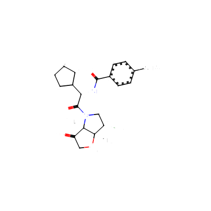 CC(=O)Nc1ccc(C(=O)N[C@H](C(=O)N2C[C@H](Cl)[C@H]3OCC(=O)[C@H]32)C2CCCC2)cc1